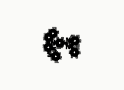 c1ccc(-c2nc(-c3ccc(-n4c5c6c(ccc5c5ccc7ccccc7c54)Sc4ccccc4S6)cc3)nc3ccccc23)cc1